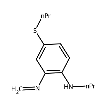 C=Nc1cc(SCCC)ccc1NCCC